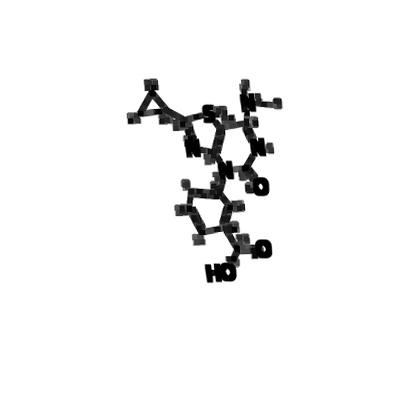 CN(C)c1nc(=O)n(-c2cccc(C(=O)O)c2)c2nc(C3CC3)sc12